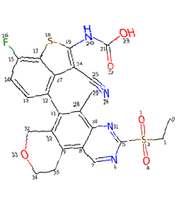 CCS(=O)(=O)c1ncc2c3c(c(-c4ccc(F)c5sc(NC(=O)O)c(C#N)c45)c(C)c2n1)COCC3